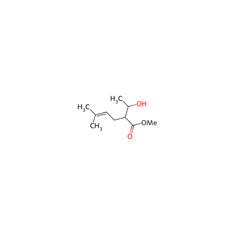 COC(=O)C(CC=C(C)C)C(C)O